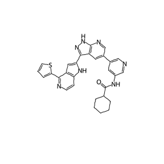 O=C(Nc1cncc(-c2cnc3[nH]nc(-c4cc5c(-c6cccs6)nccc5[nH]4)c3c2)c1)C1CCCCC1